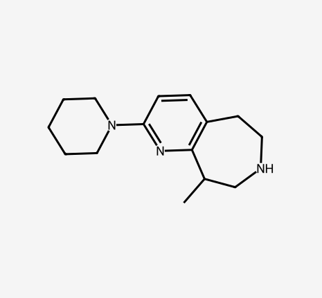 CC1CNCCc2ccc(N3CCCCC3)nc21